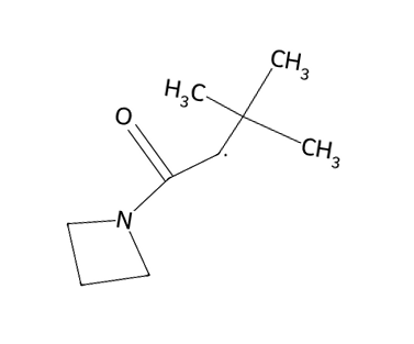 CC(C)(C)[CH]C(=O)N1CCC1